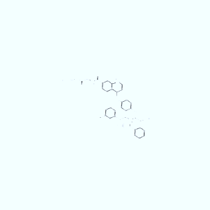 CCOC(=O)CNC(=O)c1ccc2c(Oc3ccc(C[C@@H](CO)N(Cc4ccccc4)C[C@@H](O)c4cccc(Cl)c4)cc3)ccnc2c1